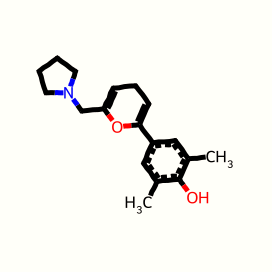 Cc1cc(C2=CCC=C(CN3CCCC3)O2)cc(C)c1O